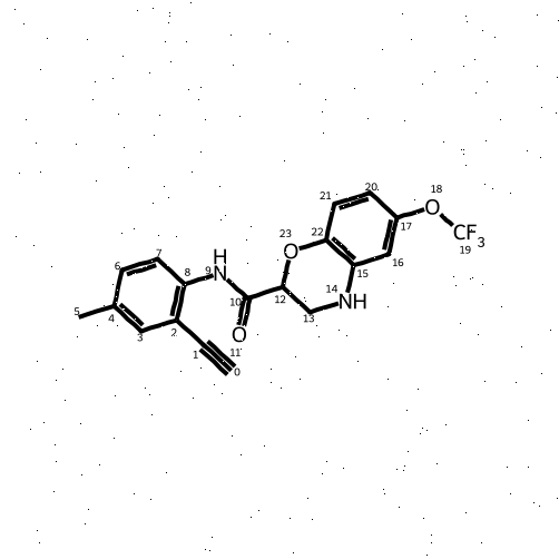 C#Cc1cc(C)ccc1NC(=O)C1CNc2cc(OC(F)(F)F)ccc2O1